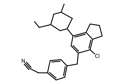 CCC1CC(C)CC(c2cc(Cc3ccc(CC#N)cc3)c(Cl)c3c2CCC3)C1